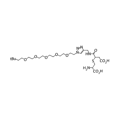 CC(C)(C)CCOCCOCCOCCOCCOCCn1cc(CNC(=O)C(CC(=O)O)SCC(N)C(=O)O)nn1